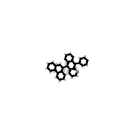 c1ccc(-c2c3ccccc3c(-c3cc4ccccc4c4ccccc34)c3cccnc23)cc1